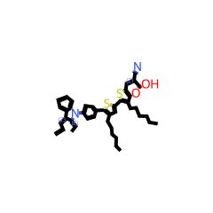 C=C/C=c1\c(=C/C)n(-c2ccc(-c3sc(-c4sc(/C=C(/C#N)C(=O)O)cc4CCCCCC)cc3CCCCCC)cc2)c2ccccc12